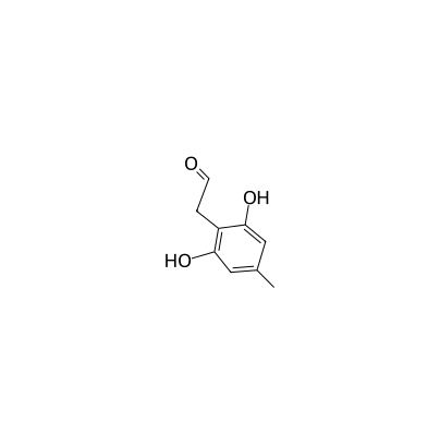 Cc1cc(O)c(CC=O)c(O)c1